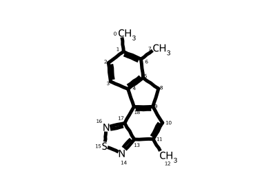 Cc1ccc2c(c1C)Cc1cc(C)c3nsnc3c1-2